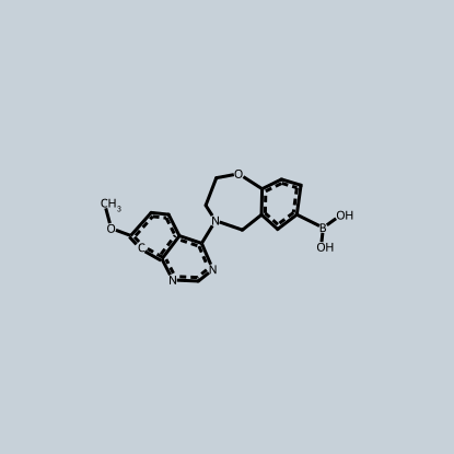 COc1ccc2c(N3CCOc4ccc(B(O)O)cc4C3)ncnc2c1